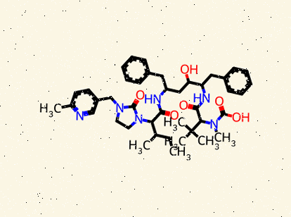 CCC(C)C(C(=O)NC(Cc1ccccc1)CC(O)C(Cc1ccccc1)NC(=O)C(N(C)C(=O)O)C(C)(C)C)N1CCN(Cc2ccc(C)nc2)C1=O